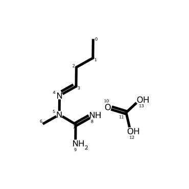 CCCC=NN(C)C(=N)N.O=C(O)O